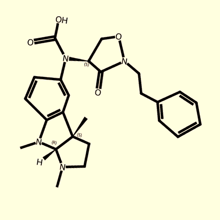 CN1CC[C@@]2(C)c3cc(N(C(=O)O)[C@H]4CON(CCc5ccccc5)C4=O)ccc3N(C)[C@@H]12